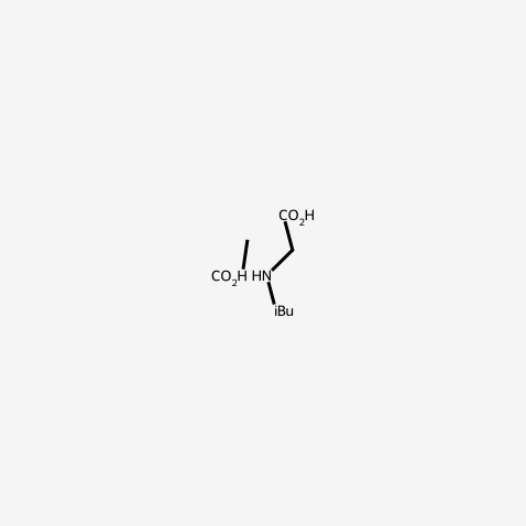 CC(=O)O.CCC(C)NCC(=O)O